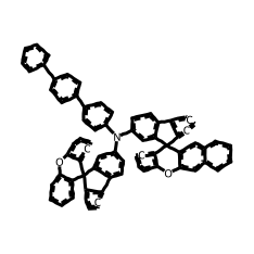 c1ccc(-c2ccc(-c3ccc(N(c4ccc5c(c4)C4(c6ccccc6Oc6ccccc64)c4ccccc4-5)c4ccc5c(c4)C4(c6ccccc6Oc6cc7ccccc7cc64)c4ccccc4-5)cc3)cc2)cc1